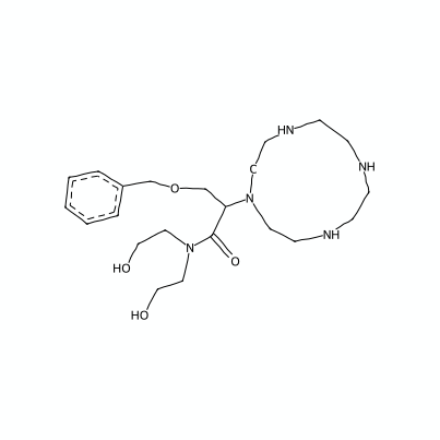 O=C(C(COCc1ccccc1)N1CCNCCNCCNCC1)N(CCO)CCO